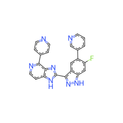 Fc1cc2[nH]nc(-c3nc4c(-c5ccncc5)nccc4[nH]3)c2cc1-c1cccnc1